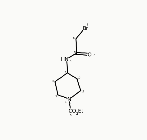 CCOC(=O)N1CCC(NC(=O)CBr)CC1